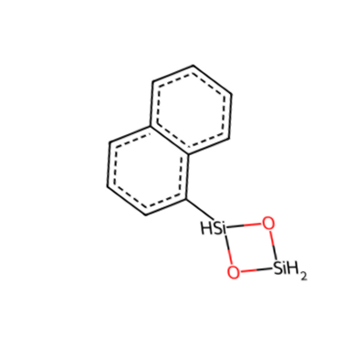 c1ccc2c([SiH]3O[SiH2]O3)cccc2c1